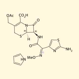 CO/N=C(\C(=O)N[C@@H]1C(=O)N2C(C(=O)O)=C(COC(C)=O)CS[C@H]12)c1csc(N)n1.c1cc[nH]c1